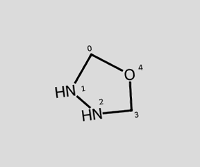 C1NNCO1